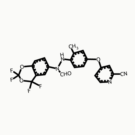 Cc1cc(Oc2ccnc(C#N)c2)ccc1NN(C=O)c1ccc2c(c1)C(F)(F)OC(F)(F)O2